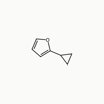 [CH]1CC1c1ccco1